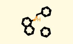 c1ccc(CPc2cccc3ccccc23)cc1.c1ccccc1